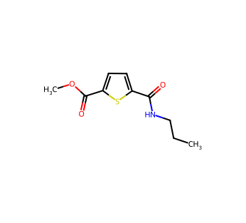 CCCNC(=O)c1ccc(C(=O)OC)s1